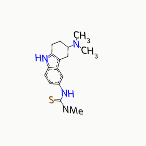 CNC(=S)Nc1ccc2[nH]c3c(c2c1)CC(N(C)C)CC3